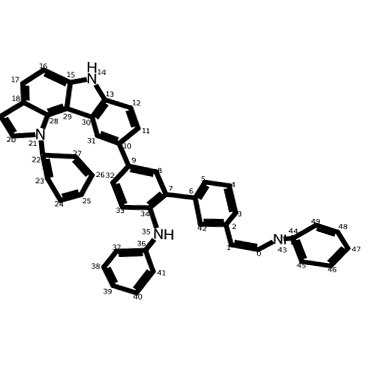 C(=C/c1cccc(-c2cc(-c3ccc4[nH]c5ccc6ccn(-c7ccccc7)c6c5c4c3)ccc2Nc2ccccc2)c1)/Nc1ccccc1